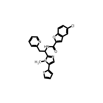 Cn1c(-c2cccs2)cnc1C(Cc1ccccn1)NC(=O)c1cc2cc(Cl)ccc2o1